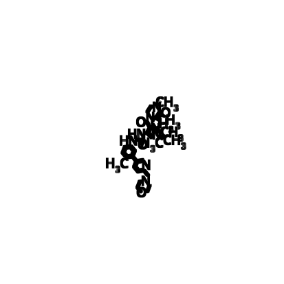 Cc1ccc(NC(=O)Nc2cn(C(C)(C)C)nc2C(=O)N2CCN(C)C(=O)C2(C)C)cc1-c1ccc(CN2CCOCC2)nc1